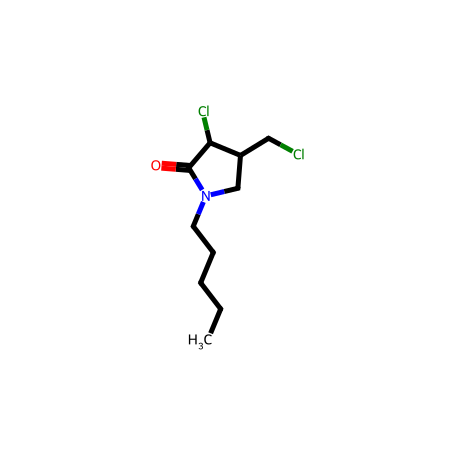 CCCCCN1CC(CCl)C(Cl)C1=O